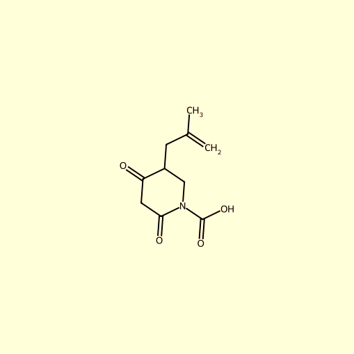 C=C(C)CC1CN(C(=O)O)C(=O)CC1=O